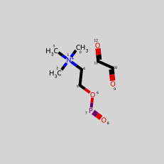 C[N+](C)(C)CCOP=O.O=CC=O